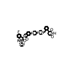 O=C1CCC(c2ccccc2CN2CCN(C3CCN(c4ccc5c(c4)C(=O)N(C(C(=O)Nc4nccs4)c4cc(F)ccc4O)C5)CC3)CC2)C(=O)N1